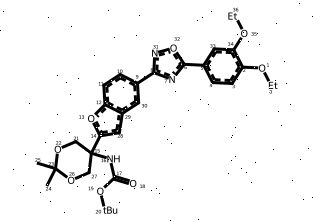 CCOc1ccc(-c2nc(-c3ccc4oc(C5(NC(=O)OC(C)(C)C)COC(C)(C)OC5)cc4c3)no2)cc1OCC